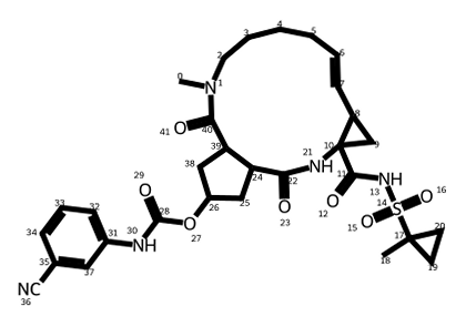 CN1CCCC/C=C/C2CC2(C(=O)NS(=O)(=O)C2(C)CC2)NC(=O)C2CC(OC(=O)Nc3cccc(C#N)c3)CC2C1=O